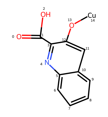 O=C(O)c1nc2ccccc2cc1[O][Cu]